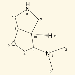 CN(C)C1COC2CNC[C@H]21